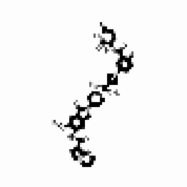 CC(C)Oc1cc2c(cc1NC(=O)c1cnn3cccnc13)CN(C1CCN(C(C)(C)C3CN(c4ccc(F)c(C(=O)NC5CCC(=O)NC5=O)c4)C3)CC1)C2=O